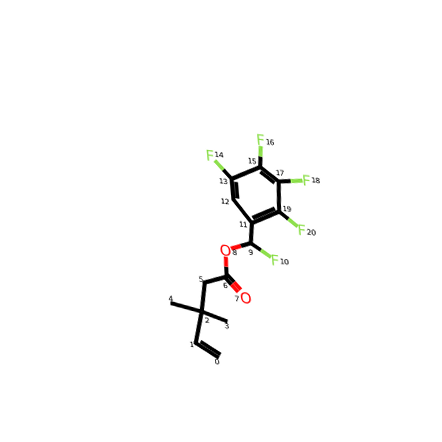 C=CC(C)(C)CC(=O)OC(F)c1cc(F)c(F)c(F)c1F